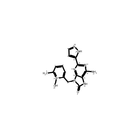 Cc1cccc(Cn2c(=O)[nH]c3c(N)nc(-c4ccn[nH]4)nc32)[n+]1O